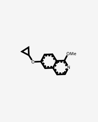 COc1nccc2cc(OC3CC3)ccc12